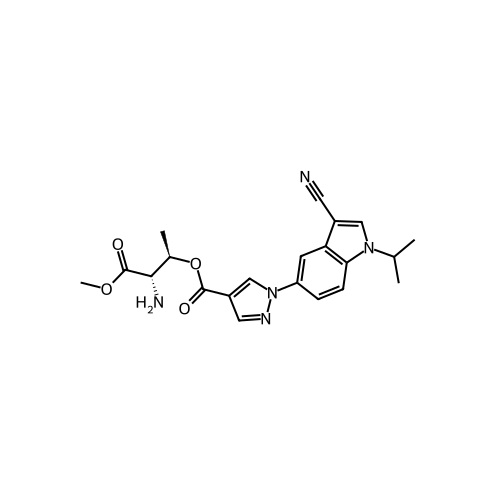 COC(=O)[C@@H](N)[C@@H](C)OC(=O)c1cnn(-c2ccc3c(c2)c(C#N)cn3C(C)C)c1